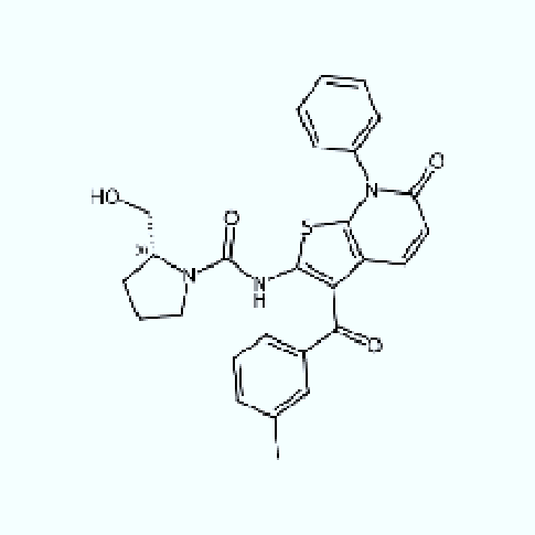 Cc1cccc(C(=O)c2c(NC(=O)N3CCC[C@@H]3CO)sc3c2ccc(=O)n3-c2ccccc2)c1